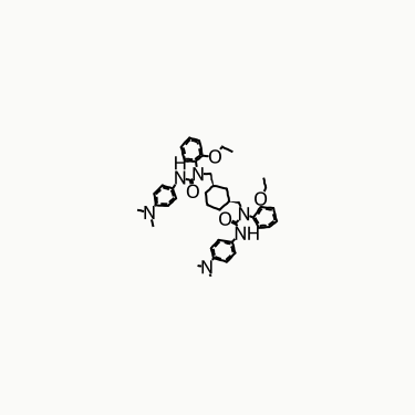 CCOc1ccccc1N(C[C@@H]1CCC[C@H](CN(C(=O)Nc2ccc(N(C)C)cc2)c2ccccc2OCC)C1)C(=O)Nc1ccc(N(C)C)cc1